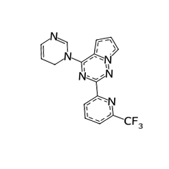 FC(F)(F)c1cccc(-c2nc(N3C=NC=CC3)c3cccn3n2)n1